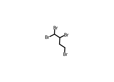 BrCCC(Br)C(Br)Br